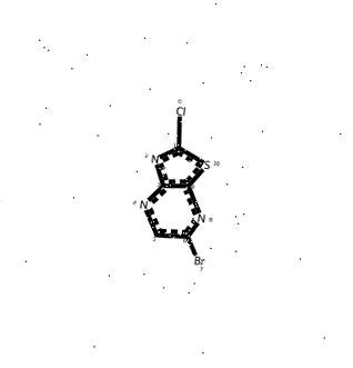 Clc1nc2ncc(Br)nc2s1